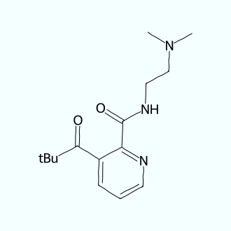 CN(C)CCNC(=O)c1ncccc1C(=O)C(C)(C)C